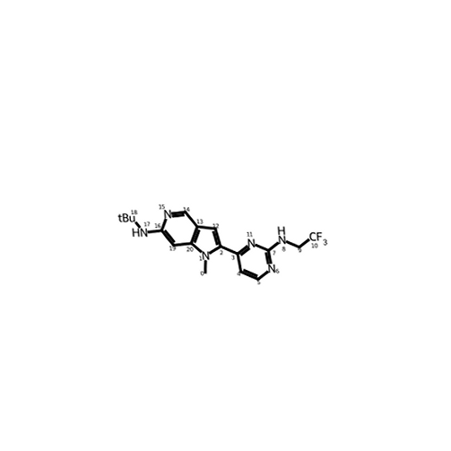 Cn1c(-c2ccnc(NCC(F)(F)F)n2)cc2cnc(NC(C)(C)C)cc21